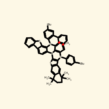 Cc1cc2c3c(c1)N(c1ccc(C(C)(C)C)cc1-c1ccccc1)c1c(ccc4c1sc1ccccc14)B3c1sc3cc4c(cc3c1N2c1ccc(C(C)(C)C)cc1)C(C)(C)CCC4(C)C